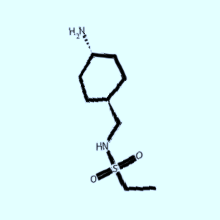 CCS(=O)(=O)NC[C@H]1CC[C@H](N)CC1